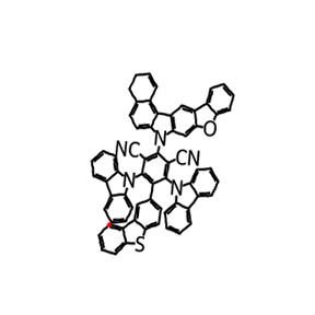 N#Cc1c(-n2c3ccccc3c3ccccc32)c(-c2ccc3sc4ccccc4c3c2)c(-n2c3ccccc3c3ccccc32)c(C#N)c1-n1c2cc3oc4ccccc4c3cc2c2c3c(ccc21)CCC=C3